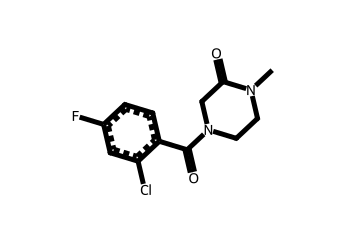 CN1CCN(C(=O)c2ccc(F)cc2Cl)CC1=O